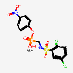 O=[N+]([O-])c1ccc(OP(=O)(O)CNS(=O)(=O)c2cc(Cl)ccc2Cl)cc1.[Na]